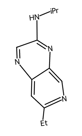 CCc1cc2ncc(NC(C)C)nc2cn1